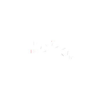 Cc1cc(C(=O)/C=C/c2ccc(Br)cc2)ccc1O